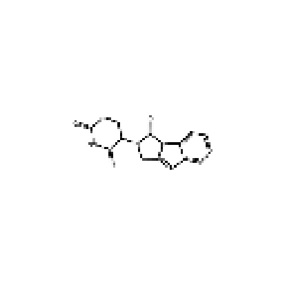 O=C1CCC(N2Cc3cc4ccccc4n3C2=O)C(=O)N1